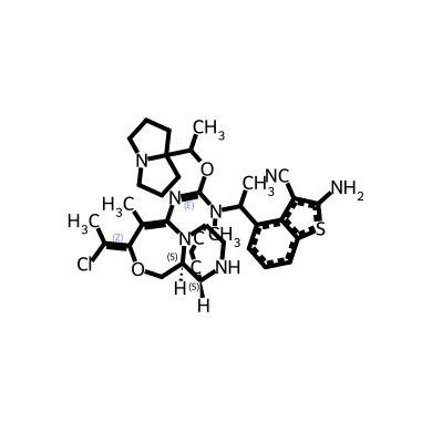 CC1=C(/N=C(/OC(C)C23CCCN2CCC3)N(C)C(C)c2cccc3sc(N)c(C#N)c23)N2C3CCC[C@H](NC3)[C@H]2CO/C1=C(/C)Cl